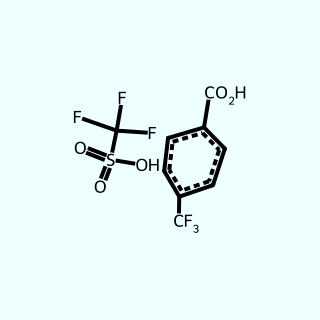 O=C(O)c1ccc(C(F)(F)F)cc1.O=S(=O)(O)C(F)(F)F